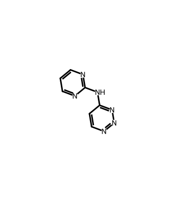 c1cnc(Nc2ccnnn2)nc1